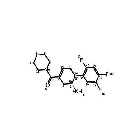 N[C@@H]1CC(C(=O)N2CCCCC2)=CC[C@H]1c1cc(F)c(F)cc1F